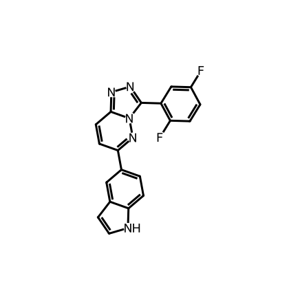 Fc1ccc(F)c(-c2nnc3ccc(-c4ccc5[nH]ccc5c4)nn23)c1